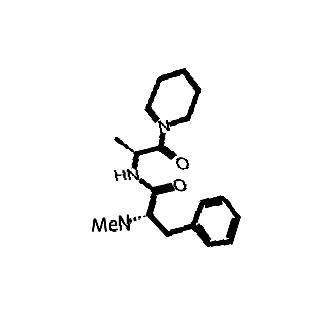 CN[C@@H](Cc1ccccc1)C(=O)N[C@@H](C)C(=O)N1CCCCC1